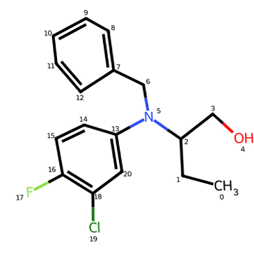 CCC(CO)N(Cc1ccccc1)c1ccc(F)c(Cl)c1